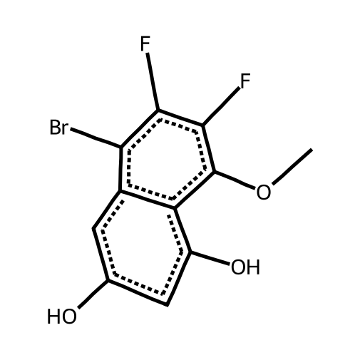 COc1c(F)c(F)c(Br)c2cc(O)cc(O)c12